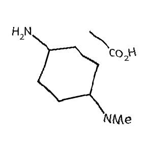 CC(=O)O.CNC1CCC(N)CC1